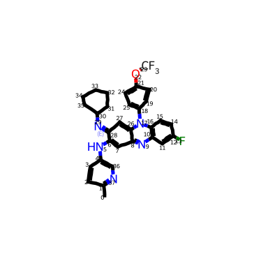 Cc1ccc(Nc2cc3nc4cc(F)ccc4n(-c4ccc(OC(F)(F)F)cc4)c-3c/c2=N\C2CCCCC2)cn1